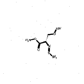 CC(C)(C)OC[C@H](N=NN)C(=O)ON